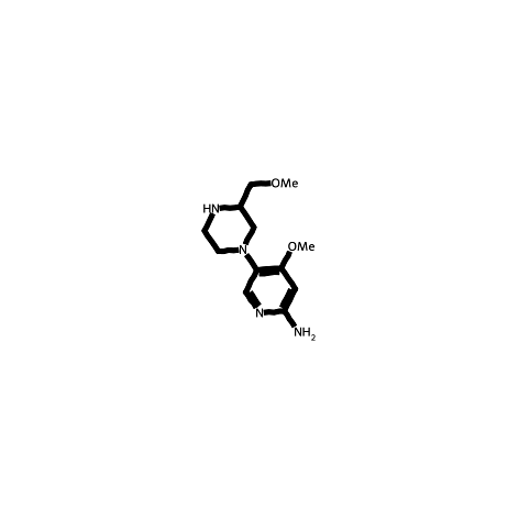 COCC1CN(c2cnc(N)cc2OC)CCN1